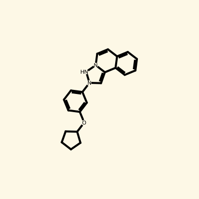 C1=CN2NN(c3cccc(OC4CCCC4)c3)C=C2c2ccccc21